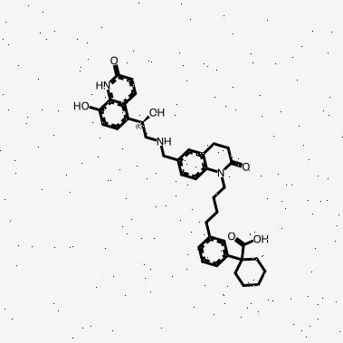 O=C1CCc2cc(CNC[C@H](O)c3ccc(O)c4[nH]c(=O)ccc34)ccc2N1CCCCc1cccc(C2(C(=O)O)CCCCC2)c1